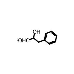 O=[C]C(O)Cc1ccccc1